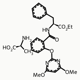 CCOC(=O)[C@H](Cc1ccccc1)NC(=O)c1ccccc1Oc1nc(OC)cc(OC)n1.C[C@H](N)C(=O)O